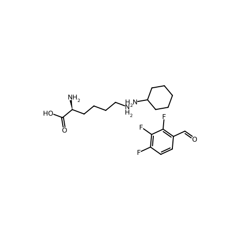 NC1CCCCC1.NCCCC[C@H](N)C(=O)O.O=Cc1ccc(F)c(F)c1F